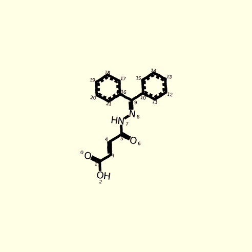 O=C(O)C=CC(=O)NN=C(c1ccccc1)c1ccccc1